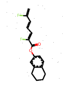 C=C(F)C=CC=C(F)C(=O)Oc1ccc2c(c1)CCCC2